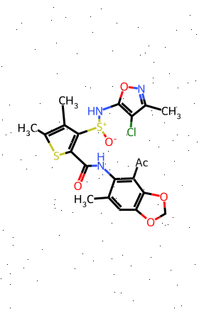 CC(=O)c1c(NC(=O)c2sc(C)c(C)c2[S+]([O-])Nc2onc(C)c2Cl)c(C)cc2c1OCO2